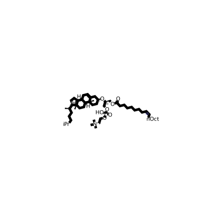 CCCCCCCC/C=C\CCCCCCCC(=O)OC[C@@H](COP(=O)(O)OCC[N+](C)(C)C)O[C@H]1CC[C@@]2(C)C(=CC[C@H]3[C@@H]4CC[C@H]([C@H](C)CCCC(C)C)[C@@]4(C)CC[C@@H]32)C1